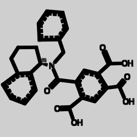 O=C(O)c1cc(C(=O)O)c(C(=O)N(Cc2ccccc2)[C@H]2CCCc3ccccc32)cc1C(=O)O